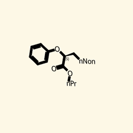 CCCCCCCCCC[C@H](Oc1ccccc1)C(=O)OCCC